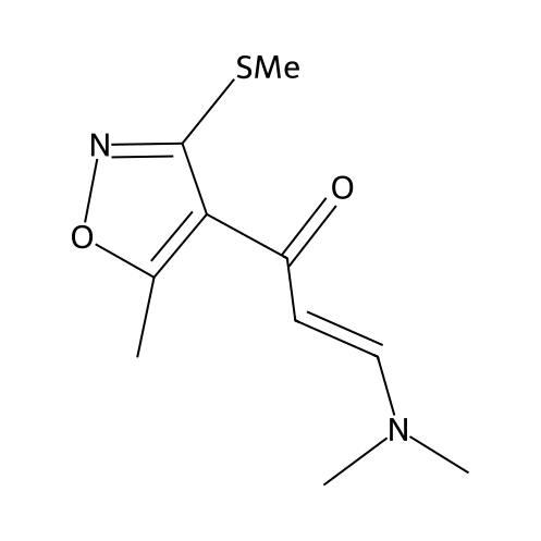 CSc1noc(C)c1C(=O)C=CN(C)C